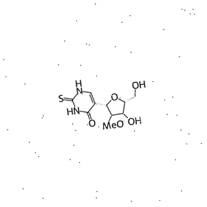 COC1C(O)[C@@H](CO)O[C@H]1c1c[nH]c(=S)[nH]c1=O